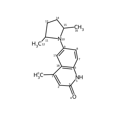 Cc1cc(=O)[nH]c2ccc(N3C(C)CCC3C)cc12